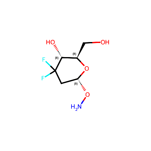 NO[C@@H]1CC(F)(F)[C@H](O)[C@@H](CO)O1